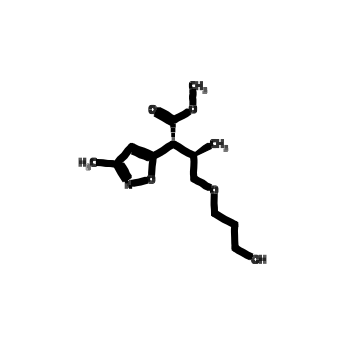 COC(=O)[C@@H](c1cc(C)no1)[C@@H](C)COCCCO